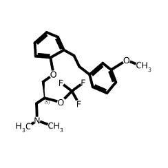 COc1cccc(CCc2ccccc2OC[C@H](CN(C)C)OC(F)(F)F)c1